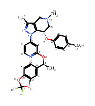 C[C@H](Oc1cc(-n2nc(C(F)(F)F)c3c2[C@@H](Oc2ccc(C(=O)O)cc2)CN(C)C3)ccn1)c1ccc2c(c1)OC(F)(F)O2